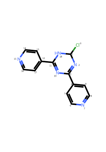 ClC1N=C(c2ccncc2)N=C(c2ccncc2)N1